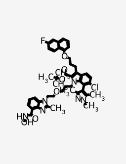 Cc1nn(C)c(C)c1-c1c(Cl)ccc2c(CCCOc3cccc4cc(F)ccc34)c(C(=O)OC(C)(C)C)n(CCCOCCn3c(C)nc4c(C(=O)NO)cccc43)c12